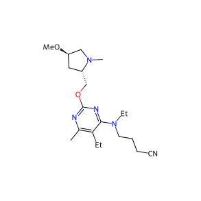 CCc1c(C)nc(OC[C@@H]2C[C@@H](OC)CN2C)nc1N(CC)CCCC#N